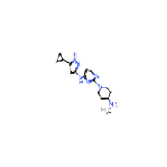 CNC1CCN(c2nccc(Nc3cc(C4CC4)[nH]n3)n2)CC1